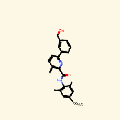 CCOC(=O)c1cc(C)c(NC(=O)c2nc(-c3cccc(CO)c3)ccc2C)c(C)c1